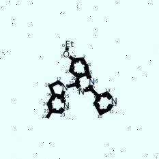 CCOc1ccc2nc(-c3cccnc3)nc(N3CCc4cc(C)cnc43)c2c1